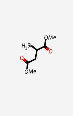 COC(=O)CC([SiH3])C(=O)OC